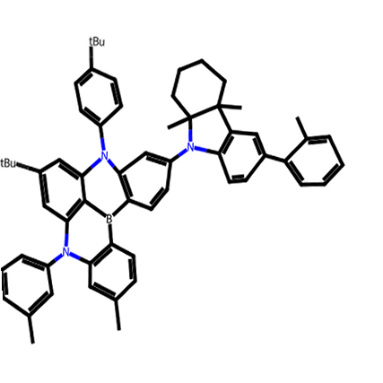 Cc1cccc(N2c3cc(C)ccc3B3c4ccc(N5c6ccc(-c7ccccc7C)cc6C6(C)CCCCC56C)cc4N(c4ccc(C(C)(C)C)cc4)c4cc(C(C)(C)C)cc2c43)c1